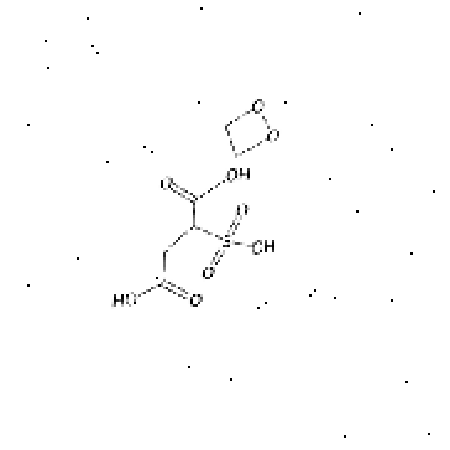 C1COO1.O=C(O)CC(C(=O)O)S(=O)(=O)O